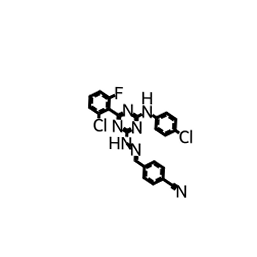 N#Cc1ccc(C=NNc2nc(Nc3ccc(Cl)cc3)nc(-c3c(F)cccc3Cl)n2)cc1